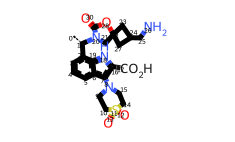 C[C@@H](c1cccc2c(N3CCS(=O)(=O)CC3)c(C(=O)O)[nH]c12)N1CC2(CC(CN)C2)OC1=O